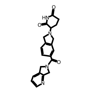 O=C1CCC(N2Cc3ccc(C(=O)N4Cc5cccnc5C4)cc3C2)C(=O)N1